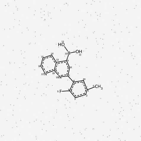 Cc1ccc(F)c(-c2cc(B(O)O)c3cccnc3n2)c1